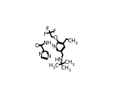 CCc1cc(CNC(C)(C)C)cnc1OCC(F)(F)F.NC(=O)c1cnccn1